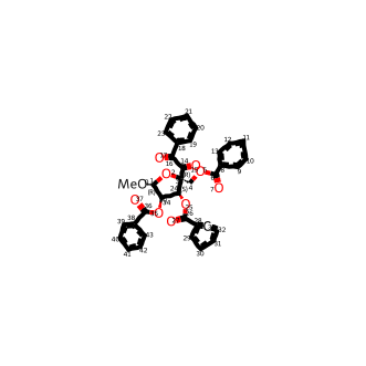 CO[C@@H]1O[C@@](COC(=O)c2ccccc2)(C(=O)C(=O)c2ccccc2)[C@@H](OC(=O)c2ccccc2)[C@H]1OC(=O)c1ccccc1